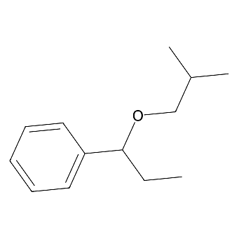 CCC(OCC(C)C)c1ccccc1